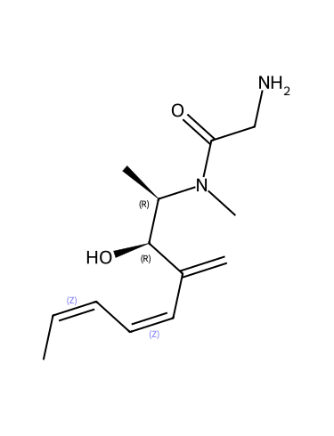 C=C(/C=C\C=C/C)[C@@H](O)[C@@H](C)N(C)C(=O)CN